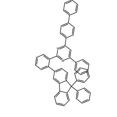 c1ccc(-c2ccc(-c3cc(-c4ccccc4)nc(-c4ccccc4-c4ccc5c(c4)-c4ccccc4C5(c4ccccc4)c4ccccc4)n3)cc2)cc1